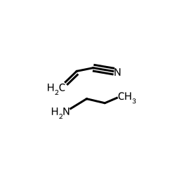 C=CC#N.CCCN